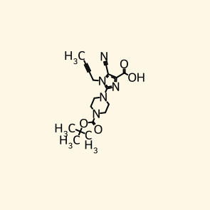 CC#CCn1c(N2CCN(C(=O)OC(C)(C)C)CC2)nc(C(=O)O)c1C#N